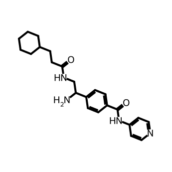 NC(CNC(=O)CCC1CCCCC1)c1ccc(C(=O)Nc2ccncc2)cc1